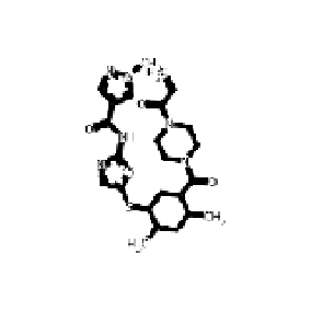 C=CC(=O)N1CCN(C(=O)C2CC(Sc3cnc(NC(=O)c4cnn(C)c4)s3)C(C)CC2C)CC1